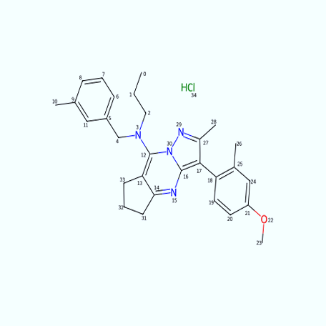 CCCN(Cc1cccc(C)c1)c1c2c(nc3c(-c4ccc(OC)cc4C)c(C)nn13)CCC2.Cl